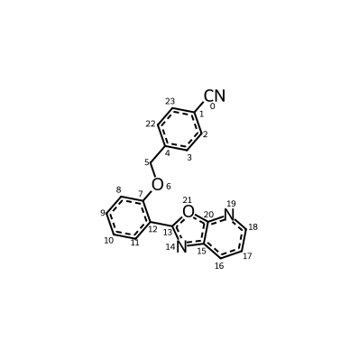 N#Cc1ccc(COc2ccccc2-c2nc3cccnc3o2)cc1